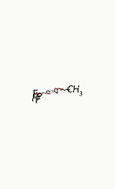 CCCCCCC[C@H]1CC[C@H](CC[C@H]2CC[C@H](CCc3cc(F)c(F)c(F)c3)CC2)CC1